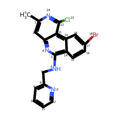 Cc1cc2nc(NCc3ccccn3)c3ccc(Br)cc3c2c(Cl)n1